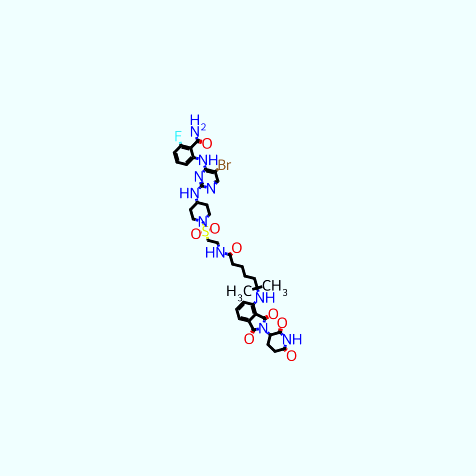 CC(C)(CCCCC(=O)NCCS(=O)(=O)N1CCC(Nc2ncc(Br)c(Nc3cccc(F)c3C(N)=O)n2)CC1)Nc1cccc2c1C(=O)N(C1CCC(=O)NC1=O)C2=O